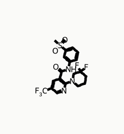 CS(=O)(=O)c1cccc(NC(=O)c2cc(C(F)(F)F)cnc2N2CCCC(F)(F)C2)c1